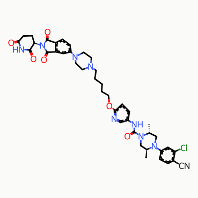 C[C@@H]1CN(c2ccc(C#N)c(Cl)c2)[C@@H](C)CN1C(=O)Nc1ccc(OCCCCCN2CCN(c3ccc4c(c3)C(=O)N([C@@H]3CCC(=O)NC3=O)C4=O)CC2)nc1